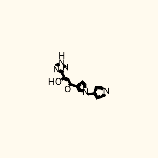 O=C(C=C(O)c1nc[nH]n1)c1ccn(Cc2ccncc2)c1